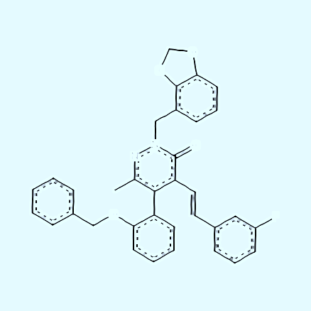 Cc1nn(Cc2cccc3c2OCO3)c(=O)c(C=Cc2cccc(F)c2)c1-c1ccccc1OCc1ccccc1